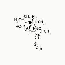 CSCC[C@H](NC(C)=O)C(=O)NC(C(=O)N[C@H](C(=O)O)C(C)C)C(C)C